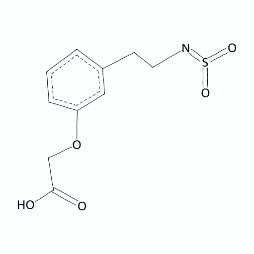 O=C(O)COc1cccc(CCN=S(=O)=O)c1